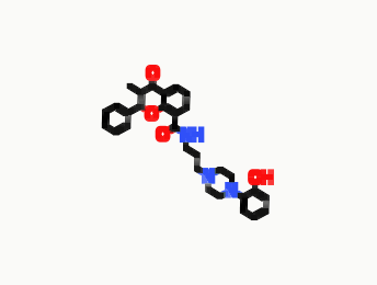 Cc1c(-c2ccccc2)oc2c(C(=O)NCCCN3CCN(c4ccccc4O)CC3)cccc2c1=O